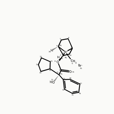 C[N+]1(C)C2CC[C@@H]1[C@H](OC(=O)[C@@](O)(c1ccccc1)C1CCCC1)C2.[Br-]